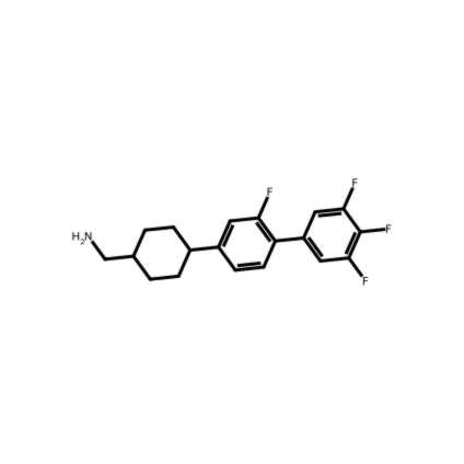 NCC1CCC(c2ccc(-c3cc(F)c(F)c(F)c3)c(F)c2)CC1